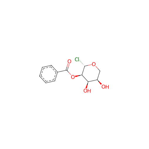 O=C(O[C@@H]1[C@H](O)[C@H](O)CO[C@H]1Cl)c1ccccc1